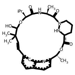 CC(C)[C@@H]1OC(O)C(C)(C)/C=C/c2ccc3ccc(nc3c2)[C@@H](C)OC(=O)[C@@H]2CCCN(N2)C(=O)[C@H](C)NC1=O